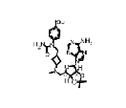 CN(C[C@H]1O[C@@H](n2cnc3c(N)ncnc32)[C@@H]2OC(C)(C)O[C@@H]21)C1CC(CN(C(N)=O)c2ccc(C(C)(C)C)cc2)C1